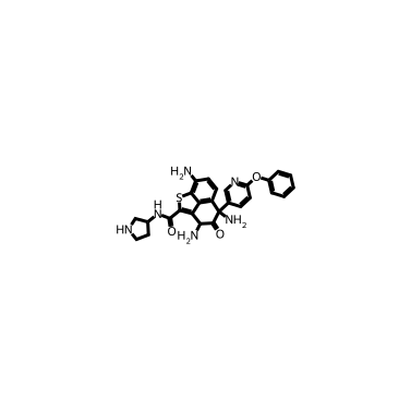 Nc1ccc2c3c(c(C(=O)NC4CCNC4)sc13)C(N)C(=O)C2(N)c1ccc(Oc2ccccc2)nc1